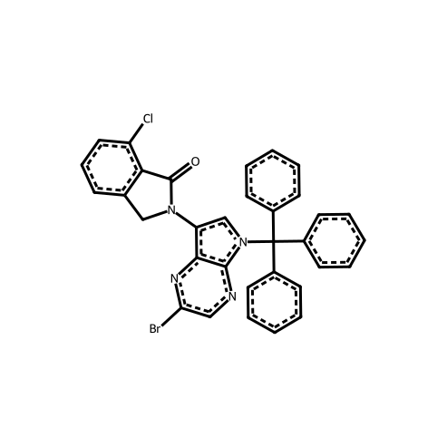 O=C1c2c(Cl)cccc2CN1c1cn(C(c2ccccc2)(c2ccccc2)c2ccccc2)c2ncc(Br)nc12